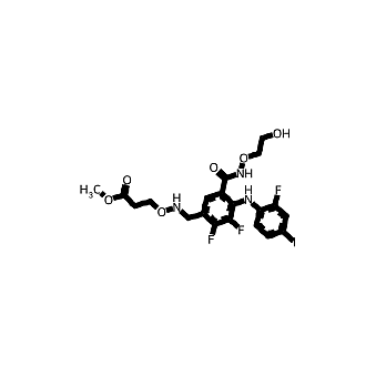 COC(=O)CCONCc1cc(C(=O)NOCCO)c(Nc2ccc(I)cc2F)c(F)c1F